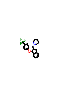 FC(F)(F)c1ccc(OC2c3ccccc3CC2CN2CCCCC2)cc1